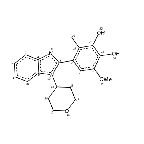 COc1cc(-c2nc3ccccc3n2C2CCOCC2)c(C)c(O)c1O